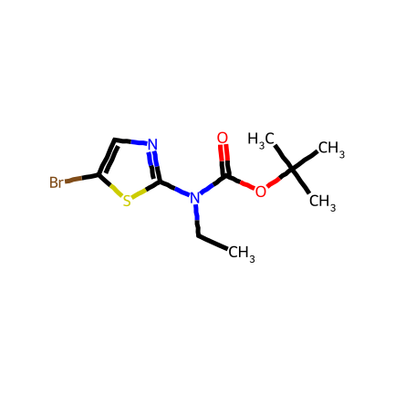 CCN(C(=O)OC(C)(C)C)c1ncc(Br)s1